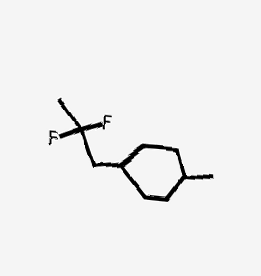 CC1CCC(CC(C)(F)F)CC1